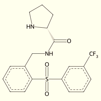 O=C(NCc1ccccc1S(=O)(=O)c1cccc(C(F)(F)F)c1)[C@H]1CCCN1